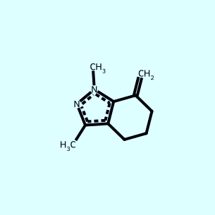 C=C1CCCc2c(C)nn(C)c21